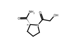 NC(=O)[C@H]1[CH]CCN1C(=O)CO